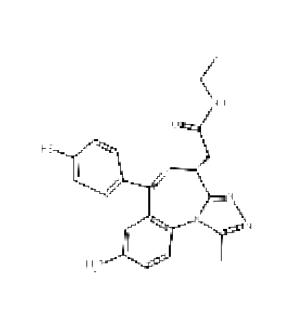 CCNC(=O)C[C@@H]1N=C(c2ccc(S)cc2)c2cc(P)ccc2-n2c(C)nnc21